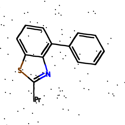 CC(C)c1nc2c(-c3ccccc3)cccc2s1